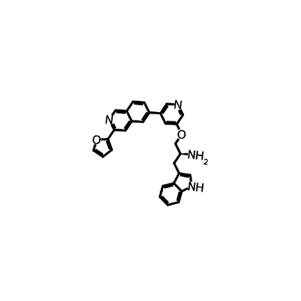 N[C@H](COc1cncc(-c2ccc3cnc(-c4ccco4)cc3c2)c1)Cc1c[nH]c2ccccc12